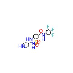 O=C(Nc1cc(F)c(F)c(F)c1)c1ccc2c(c1)S(=O)(=O)NC(C1CCNCC1)N2